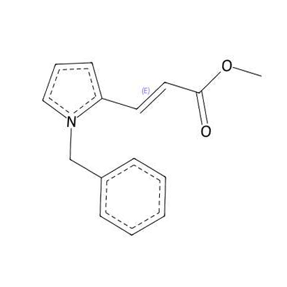 COC(=O)/C=C/c1cccn1Cc1ccccc1